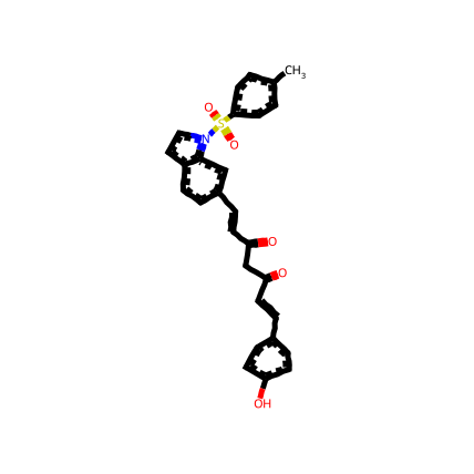 Cc1ccc(S(=O)(=O)n2ccc3ccc(C=CC(=O)CC(=O)C=Cc4ccc(O)cc4)cc32)cc1